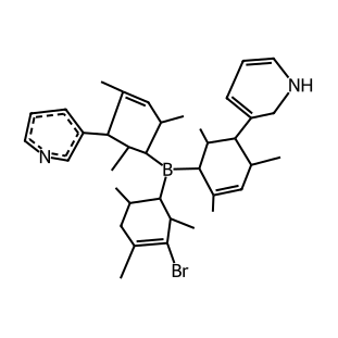 CC1=CC(C)C(C2=CC=CNC2)C(C)C1B(C1C(C)CC(C)=C(Br)C1C)C1C(C)C=C(C)C(c2cccnc2)C1C